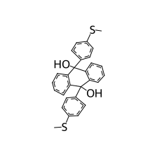 CSc1ccc(C2(O)c3ccccc3C(O)(c3ccc(SC)cc3)c3ccccc32)cc1